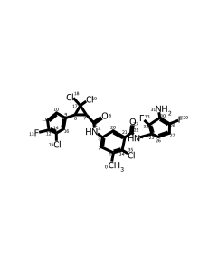 Cc1cc(NC(=O)C2C(c3ccc(F)c(Cl)c3)C2(Cl)Cl)cc(C(=O)Nc2ccc(F)c(N)c2F)c1Cl